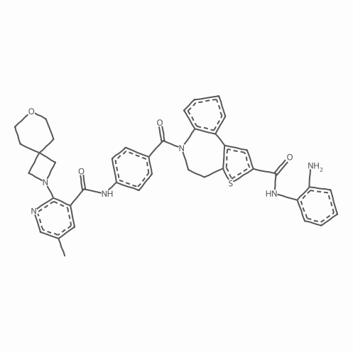 Cc1cnc(N2CC3(CCOCC3)C2)c(C(=O)Nc2ccc(C(=O)N3CCc4sc(C(=O)Nc5ccccc5N)cc4-c4ccccc43)cc2)c1